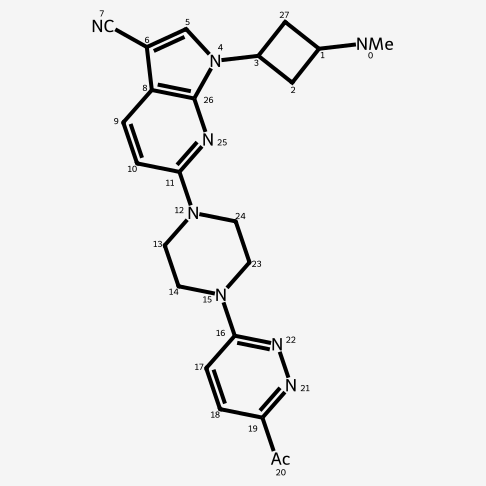 CNC1CC(n2cc(C#N)c3ccc(N4CCN(c5ccc(C(C)=O)nn5)CC4)nc32)C1